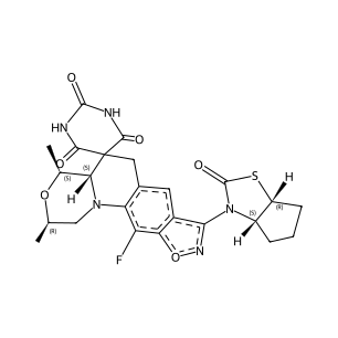 C[C@@H]1CN2c3c(cc4c(N5C(=O)S[C@@H]6CCC[C@@H]65)noc4c3F)CC3(C(=O)NC(=O)NC3=O)[C@H]2[C@H](C)O1